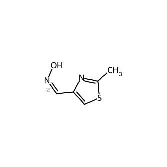 Cc1nc(/C=N\O)cs1